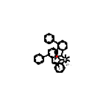 CCC1=Cc2c(-c3ccccc3)cccc2[CH]1[V]([CH3])([CH3])([CH3])(=[SiH2])([c]1ccccc1)[CH]1C(CC)=Cc2c(-c3ccccc3)cccc21